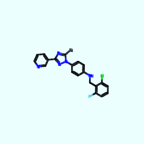 CCc1nc(-c2cccnc2)nn1-c1ccc(NCc2c(F)cccc2Cl)cc1